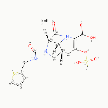 CS(=O)(=O)OC1=C(C(=O)O)N2C(=O)[C@@H]3[C@H]2[C@H](C1)CN3C(=O)NCc1cccs1.[NaH]